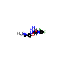 Cn1ccc(-c2cccc(NC(=O)N[C@H]3[C@@H]4CN(c5ccc(F)cc5F)C[C@@H]43)c2)n1